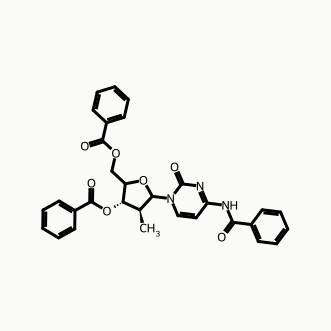 C[C@@H]1C(n2ccc(NC(=O)c3ccccc3)nc2=O)OC(COC(=O)c2ccccc2)[C@H]1OC(=O)c1ccccc1